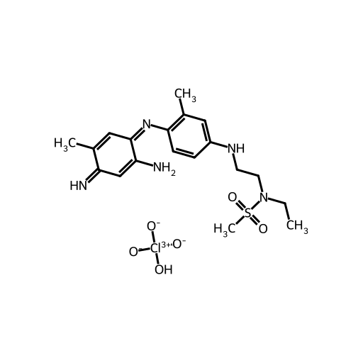 CCN(CCNc1ccc(N=C2C=C(C)C(=N)C=C2N)c(C)c1)S(C)(=O)=O.[O-][Cl+3]([O-])([O-])O